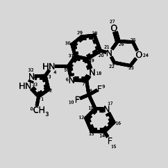 Cc1cc(Nc2nc(C(F)(F)c3ccc(F)cn3)nc3c(N4CCOCC4=O)cccc23)n[nH]1